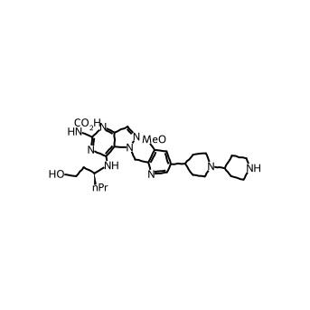 CCC[C@@H](CCO)Nc1nc(NC(=O)O)nc2cnn(Cc3ncc(C4CCN(C5CCNCC5)CC4)cc3OC)c12